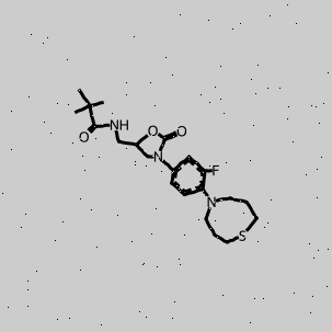 CC(C)(C)C(=O)NCC1CN(c2ccc(N3CCCSCCC3)c(F)c2)C(=O)O1